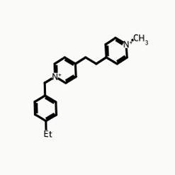 CCc1ccc(C[n+]2ccc(CCc3cc[n+](C)cc3)cc2)cc1